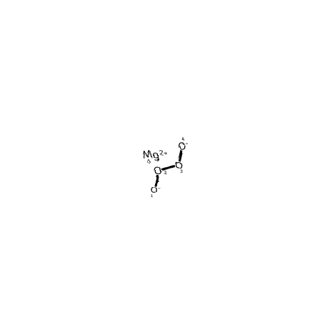 [Mg+2].[O-]OO[O-]